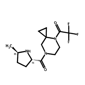 C[C@@H]1CC[C@@H](C(=O)N2CCN(C(=O)C(F)(F)F)C3(CC3)C2)N1